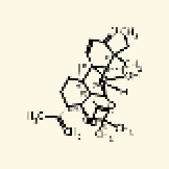 C=C(C)[C@@H]1CC[C@H]2[C@]34C=CC(=O)[C@](C)(CC)[C@H]3[C@H](O)C3(OC4)OC(C)(C)O[C@H]1[C@@]23C(C)=O